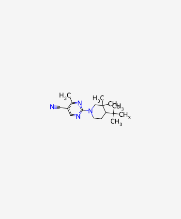 Cc1nc(N2CCC(C(C)(C)C)C(C)(C)C2)ncc1C#N